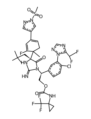 CC(C)(C)C[C@]1(C2(C)CC=C(c3cnn(S(C)(=O)=O)c3)C=C2F)NC(=N)N([C@H](COC(=O)NC2(C(F)(F)F)CC2)c2ccc(Cl)c(-n3ncnc3C(F)F)c2)C1=O